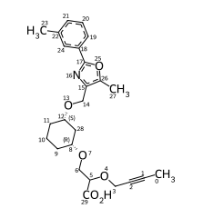 CC#CCOC(CO[C@@H]1CCC[C@H](OCc2nc(-c3cccc(C)c3)oc2C)C1)C(=O)O